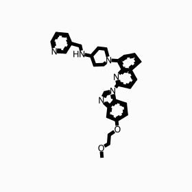 COCCOc1ccc2c(c1)ncn2-c1ccc2cccc(N3CCC(NCc4cccnc4)CC3)c2n1